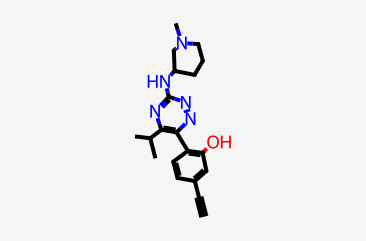 C#Cc1ccc(-c2nnc(NC3CCCN(C)C3)nc2C(C)C)c(O)c1